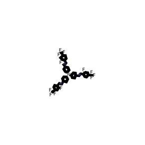 Fc1cc(C(F)(F)F)ccc1/C=C/c1ccc(N(c2ccc(/C=C/c3ccc(C(F)(F)F)cc3F)cc2)c2ccc(/C=C/c3ccc(C(F)(F)F)cc3F)cc2)cc1